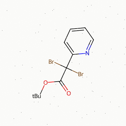 CC(C)(C)OC(=O)C(Br)(Br)c1ccccn1